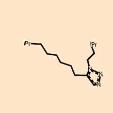 CC(C)CCCCCCc1cnnn1CCC(C)C